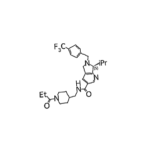 CCC(=O)N1CCC(CNC(=O)c2cnc3c(c2)CN(Cc2ccc(C(F)(F)F)cc2)[C@H]3C(C)C)CC1